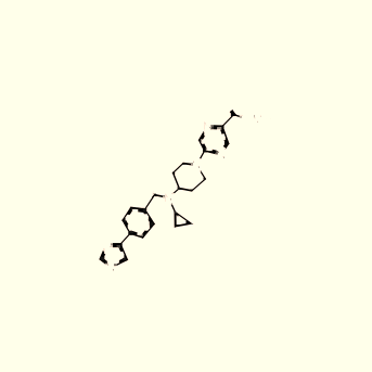 COC(=O)c1cnc(N2CCC(N(C(=O)c3ccc(-c4cnco4)cc3)C3CC3)CC2)cn1